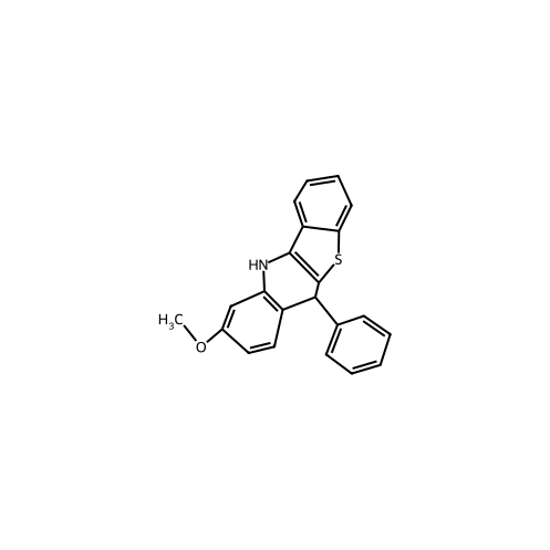 COc1ccc2c(c1)Nc1c(sc3ccccc13)C2c1ccccc1